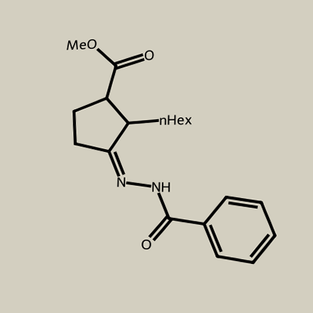 CCCCCCC1/C(=N\NC(=O)c2ccccc2)CCC1C(=O)OC